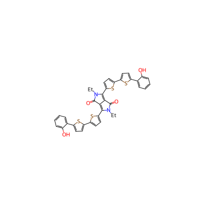 CCN1C(=O)C2=C(c3ccc(-c4ccc(-c5ccccc5O)s4)s3)N(CC)C(=O)C2=C1c1ccc(-c2ccc(-c3ccccc3O)s2)s1